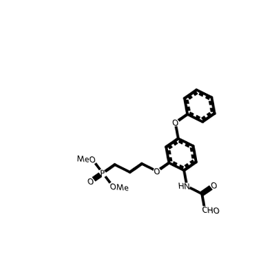 COP(=O)(CCCOc1cc(Oc2ccccc2)ccc1NC(=O)C=O)OC